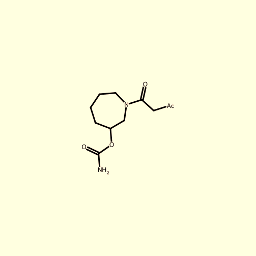 CC(=O)CC(=O)N1CCCCC(OC(N)=O)C1